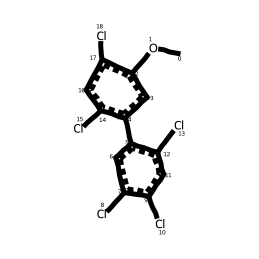 COc1cc(-c2cc(Cl)c(Cl)cc2Cl)c(Cl)cc1Cl